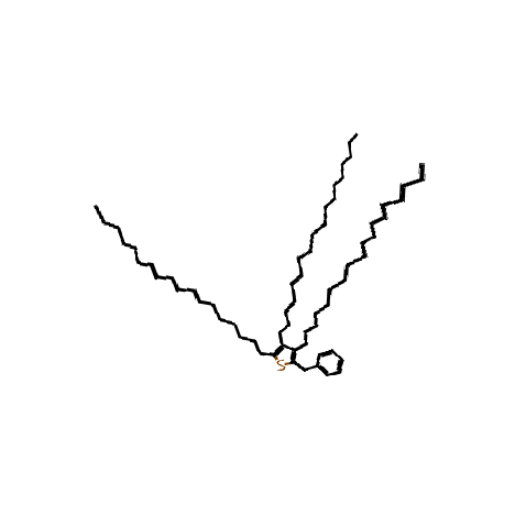 CCCCCCCCCCCCCCCCCCc1sc(Cc2ccccc2)c(CCCCCCCCCCCCCCCCCC)c1CCCCCCCCCCCCCCCCCC